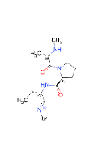 CC[C@@H](/C=[N]/[Lr])NC(=O)[C@@H]1CCCN1C(=O)[C@H](C)NC